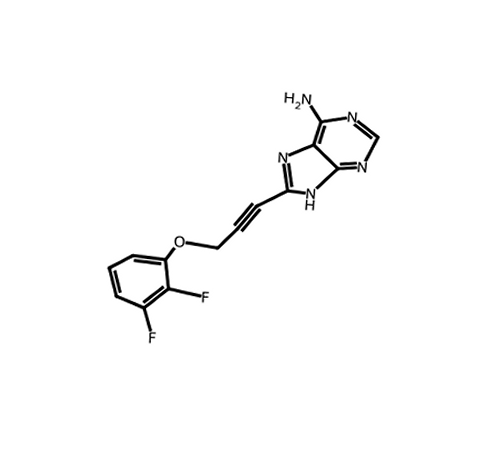 Nc1ncnc2[nH]c(C#CCOc3cccc(F)c3F)nc12